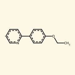 CCOc1ccc(-c2cc[c]cn2)cc1